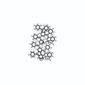 CC1(C)C=C(N(c2ccccc2)c2cc(N(c3ccccc3)c3cccc(N(c4ccccc4)c4cc(N(C5=CC(C)(C)c6ccccc65)c5ccccc5)c5c6ccccc6n(-c6ccccc6)c5c4)c3)cc3c2c2ccccc2n3-c2ccccc2)c2ccccc21